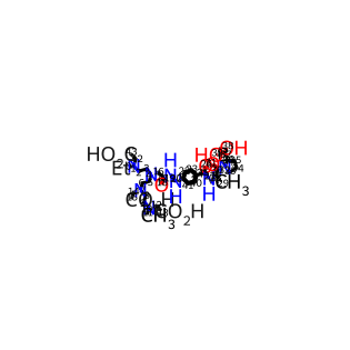 CCN(CCN(CCN(CCN(C)CC(=O)O)CC(=O)O)CC(=O)NNc1ccc(C(=O)N[C@H](C)C(=O)N2CCC[C@H]2B(O)O)cc1)CC(=O)O